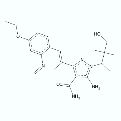 C=Nc1cc(OCC)ccc1/C=C(\C)c1nn(C(C)C(C)(C)CO)c(N)c1C(N)=O